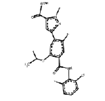 COC(=O)c1cc(-c2cc(OC(C)C(F)(F)F)c(C(=O)Nc3c(F)cccc3Cl)cc2F)nn1C